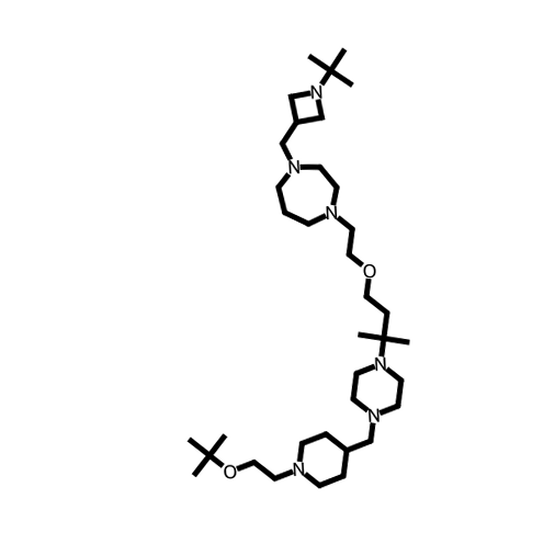 CC(C)(C)OCCN1CCC(CN2CCN(C(C)(C)CCOCCN3CCCN(CC4CN(C(C)(C)C)C4)CC3)CC2)CC1